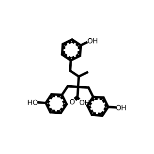 CC(Cc1cccc(O)c1)C(Cc1cccc(O)c1)(Cc1cccc(O)c1)C(=O)O